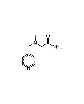 CN(CC(N)=O)Cc1ccncc1